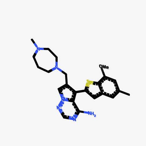 COc1cc(C)cc2cc(-c3c(CN4CCCN(C)CC4)cn4ncnc(N)c34)sc12